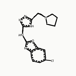 Clc1ccc2nc(Nc3nnc(CN4CCCC4)[nH]3)oc2c1